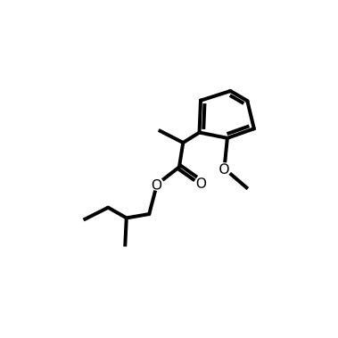 CCC(C)COC(=O)C(C)c1ccccc1OC